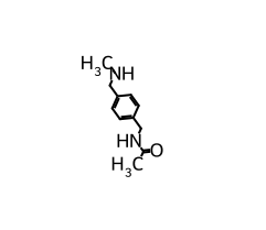 CNCc1ccc(CNC(C)=O)cc1